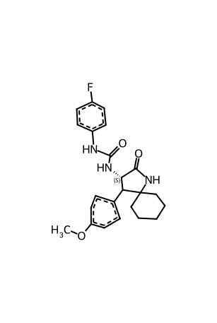 COc1ccc(C2[C@H](NC(=O)Nc3ccc(F)cc3)C(=O)NC23CCCCC3)cc1